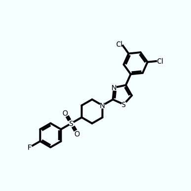 O=S(=O)(c1ccc(F)cc1)C1CCN(c2nc(-c3cc(Cl)cc(Cl)c3)cs2)CC1